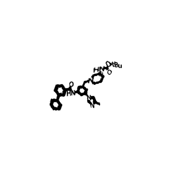 Cc1cn(-c2cc(CN3CCC[C@H](NC(=O)OC(C)(C)C)C3)cc(NC(=O)c3cccc(-c4ccccc4)c3)c2)cn1